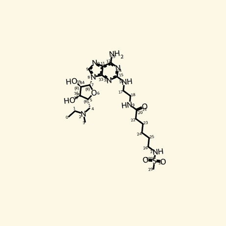 CCN(C)C[C@H]1O[C@@H](n2cnc3c(N)nc(NCCNC(=O)CCCCCNS(C)(=O)=O)nc32)[C@H](O)[C@@H]1O